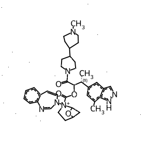 Cc1cc([C@@H](C)C(OC(=O)[N+]2(N3C=Cc4ccccc4N=C3)CCC3CC2O3)C(=O)N2CCC(C3CCN(C)CC3)CC2)cc2cn[nH]c12